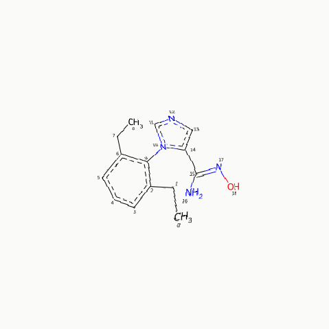 CCc1cccc(CC)c1-n1cncc1C(N)=NO